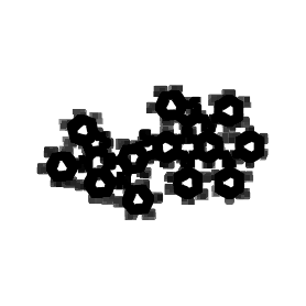 c1ccc(N(c2ccccc2)c2cc3c4c(c2)N(c2ccccc2)c2sc5ccccc5c2B4c2cc4sc5cc6c(cc5c4cc2N3c2ccccc2)N(c2ccccc2)c2cccc3c2B6c2sc4ccccc4c2N3c2ccccc2)cc1